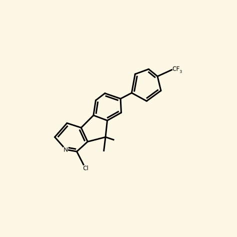 CC1(C)c2cc(-c3ccc(C(F)(F)F)cc3)ccc2-c2ccnc(Cl)c21